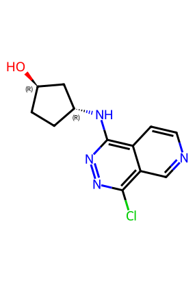 O[C@@H]1CC[C@@H](Nc2nnc(Cl)c3cnccc23)C1